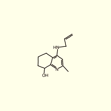 C=CCNc1cc(C)nc2c1CCCC2O